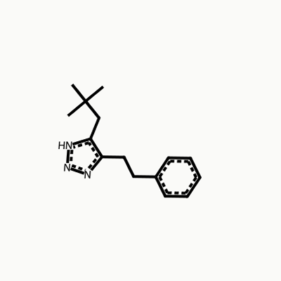 CC(C)(C)Cc1[nH]nnc1CCc1ccccc1